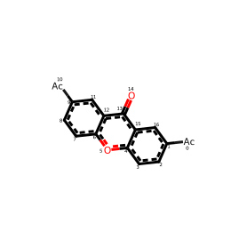 CC(=O)c1ccc2oc3ccc(C(C)=O)cc3c(=O)c2c1